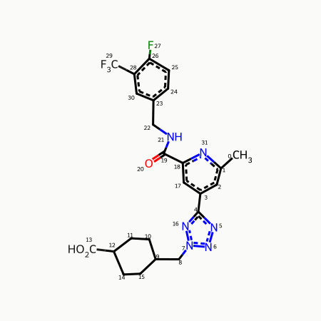 Cc1cc(-c2nnn(CC3CCC(C(=O)O)CC3)n2)cc(C(=O)NCc2ccc(F)c(C(F)(F)F)c2)n1